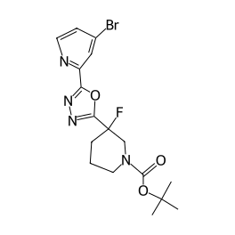 CC(C)(C)OC(=O)N1CCCC(F)(c2nnc(-c3cc(Br)ccn3)o2)C1